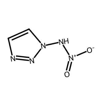 O=[N+]([O-])Nn1ccnn1